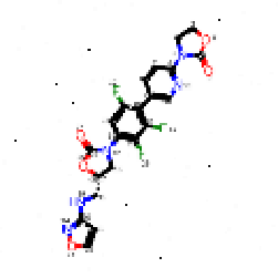 O=C1OCCN1c1ccc(-c2c(F)cc(N3C[C@H](CNc4ccon4)OC3=O)c(F)c2F)cn1